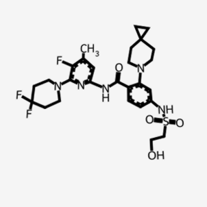 Cc1cc(NC(=O)c2ccc(NS(=O)(=O)CCO)cc2N2CCC3(CC2)CC3)nc(N2CCC(F)(F)CC2)c1F